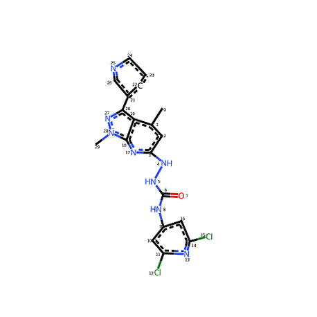 Cc1cc(NNC(=O)Nc2cc(Cl)nc(Cl)c2)nc2c1c(-c1cccnc1)nn2C